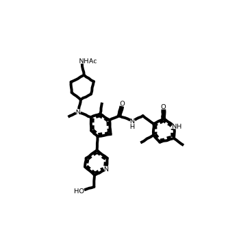 CC(=O)NC1CCC(N(C)c2cc(-c3ccc(CO)nc3)cc(C(=O)NCc3c(C)cc(C)[nH]c3=O)c2C)CC1